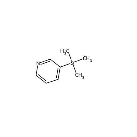 C[Si](C)(C)c1cccnc1